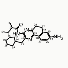 CCC(C)C(=O)Nc1nc2c(nc1CC1CCCCC1)-c1ccc(N)cc1CC2